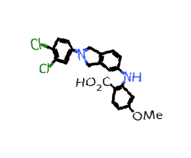 COc1ccc(C(=O)O)c(Nc2ccc3c(c2)CN(c2ccc(Cl)c(Cl)c2)C3)c1